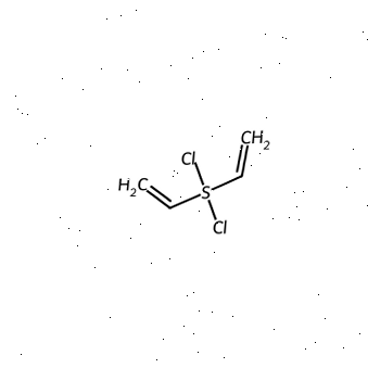 C=CS(Cl)(Cl)C=C